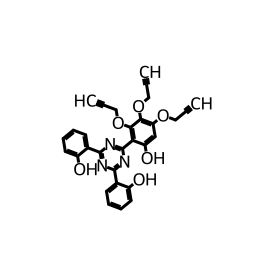 C#CCOc1cc(O)c(-c2nc(-c3ccccc3O)nc(-c3ccccc3O)n2)c(OCC#C)c1OCC#C